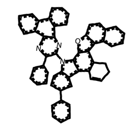 C1=Cc2c(c3c(oc4ccc5ccccc5c43)c3c2c2cc(-c4ccccc4)ccc2n3-c2nc3c4ccccc4c4ccccc4c3nc2-c2ccccc2)CC1